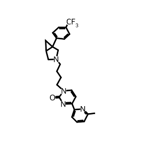 Cc1cccc(-c2ccn(CCCCN3CC4CC4(c4ccc(C(F)(F)F)cc4)C3)c(=O)n2)n1